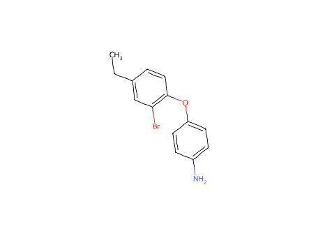 CCc1ccc(Oc2ccc(N)cc2)c(Br)c1